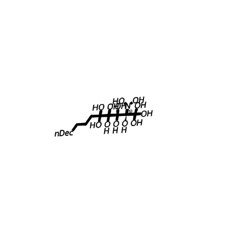 CCCCCCCCCCCCCC(O)(O)C(O)(O)C(O)(O)[C@@](O)(N(O)O)C(O)(O)O